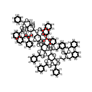 O=C(O[C@@H]1[C@@H](OC(=O)c2ccccc2)[C@H](O[C@H]2[C@H](OC(=O)c3ccccc3)[C@@H](OC(=O)c3ccccc3)[C@H](O[C@@H]3[C@@H](OC(=O)c4ccccc4)[C@H](O[C@H]4[C@H](OC(=O)c5ccccc5)[C@@H](OC(=O)c5ccccc5)[C@H](OCCN(Cc5ccccc5)C(=O)OCc5ccccc5)O[C@@H]4COCc4ccccc4)O[C@@H]4CO[C@@H](c5ccccc5)O[C@@H]34)O[C@@H]2COCc2ccccc2)O[C@@H]2CO[C@@H](c3ccccc3)O[C@@H]12)c1ccccc1